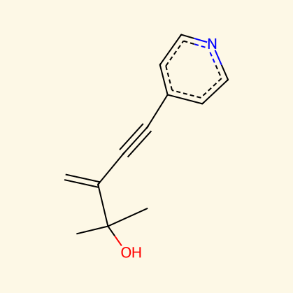 C=C(C#Cc1ccncc1)C(C)(C)O